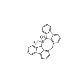 [CH3][Zr]1([CH3])[CH]2c3ccccc3-c3cccc(c32)Cc2cccc3c2[CH]1c1ccccc1-3